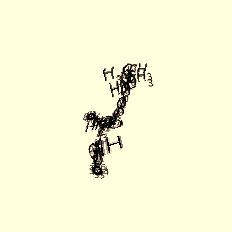 CC(C)(C)OC(=O)NOCCOCCOCCNC(=O)[C@H](CCCCNC(=O)OCc1ccccc1)NC(=O)OCc1ccccc1